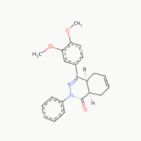 COc1ccc(C2=NN(c3ccccc3)C(=O)[C@@H]3CC=CC[C@H]23)cc1OC